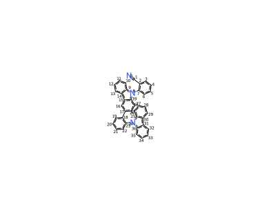 N#Cc1ccccc1-n1c2ccccc2c2cc(-c3ccccc3-n3c4ccccc4c4ccccc43)ccc21